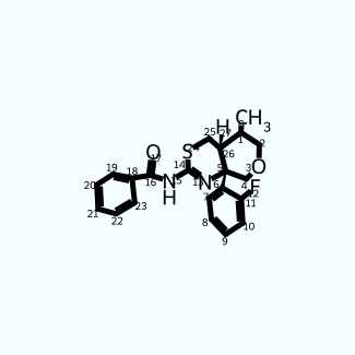 CC1COC[C@]2(c3ccccc3F)N=C(NC(=O)c3ccccc3)SC[C@H]12